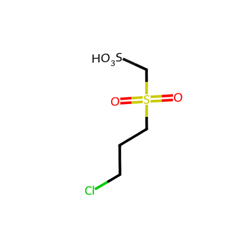 O=S(=O)(O)CS(=O)(=O)CCCCl